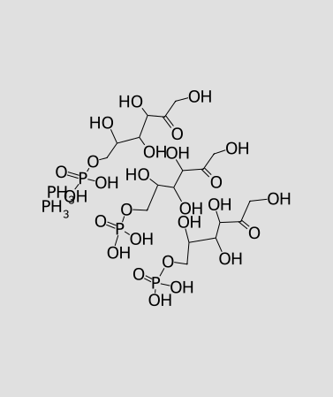 O=C(CO)C(O)C(O)C(O)COP(=O)(O)O.O=C(CO)C(O)C(O)C(O)COP(=O)(O)O.O=C(CO)C(O)C(O)C(O)COP(=O)(O)O.P.P